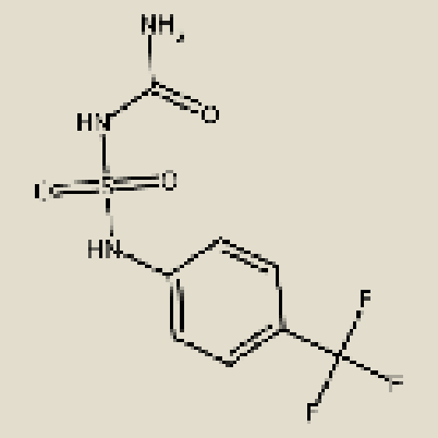 NC(=O)NS(=O)(=O)Nc1ccc(C(F)(F)F)cc1